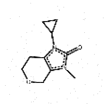 Cn1c2c(n(C3CC3)c1=O)CCOC2